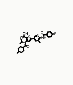 Cc1cc(-c2cc(N(C(=O)C3CCC(C)CC3)C(C)C)c(C(=O)O)s2)cnc1NC(=O)c1ccc(F)cc1